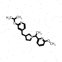 COc1cccc(C(C)N2CCC(Cc3ccnc(OC(C)C)c3)C2)n1